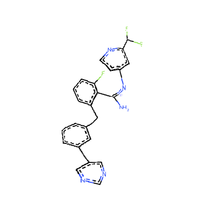 N/C(=N/c1ccnc(C(F)F)c1)c1c(F)cccc1Cc1cccc(-c2cncnc2)c1